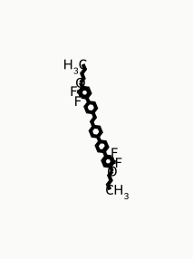 CCCCOc1ccc(C2=CCC(C3CCC(CCC4CCC(c5ccc(OCCCC)c(F)c5F)CC4)CC3)CC2)c(F)c1F